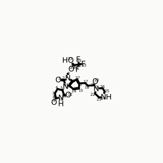 Cn1c(=O)n(C2CCC(=O)NC2=O)c2ccc(CCC(=O)N3CCNCC3)cc21.O=C(O)C(F)(F)F